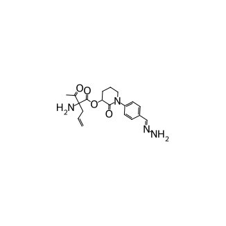 C=CCC(N)(C(C)=O)C(=O)OC1CCCN(c2ccc(C=NN)cc2)C1=O